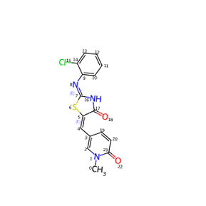 Cn1cc(/C=C2/S/C(=N/c3ccccc3Cl)NC2=O)ccc1=O